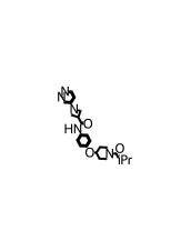 CC(C)C(=O)N1CCC(Oc2ccc(NC(=O)C3CN(c4ccnnc4)C3)cc2)CC1